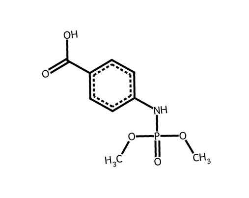 COP(=O)(Nc1ccc(C(=O)O)cc1)OC